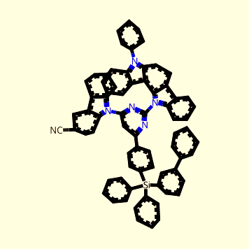 N#Cc1ccc2c(c1)c1ccccc1n2-c1cc(-c2ccc([Si](c3ccccc3)(c3ccccc3)c3cccc(-c4ccccc4)c3)cc2)nc(-n2c3ccccc3c3ccc4c(c5ccccc5n4-c4ccccc4)c32)n1